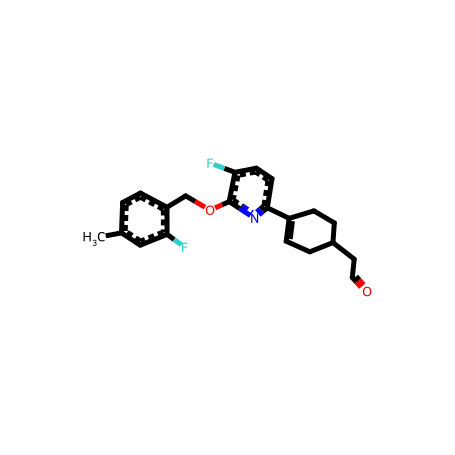 Cc1ccc(COc2nc(C3=CCC(CC=O)CC3)ccc2F)c(F)c1